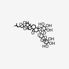 CC(C)=CC1CC(O)(C2CCC3(C)C2CCC2C4(C=O)CCC(OC5OCC(O)C(OC6OCC(O)C(O)C6O)C5OC5OC(C)C(O)C(O)C5O)C(C)(C)C4CCC23C)C(O)O1